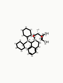 C[C@H](CS)C(=O)N1C(N(C2CCCCC2)C2CCCCC2)c2ccccc2C[C@H]1C(=O)O